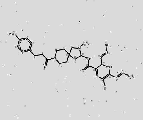 COc1ccc(CCC(=O)N2CCC3(CC2)CN(N)C(NC(=O)C2=NC(Cl)=C(N=NN)NC2N=NN)N3)cc1